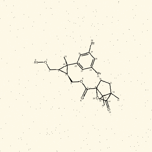 CCOCC1[C@H](COC(=O)C23CCC(C)(C(=O)O2)C3(C)C)C1(C)c1cc(C(C)C)cc(C(C)C)c1